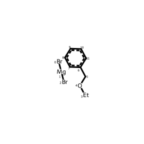 [Br][Mg][Br].[CH2]COCc1ccccc1